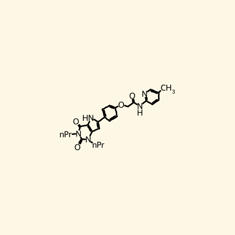 CCCn1c(=O)c2[nH]c(-c3ccc(OCC(=O)Nc4ccc(C)cn4)cc3)cc2n(CCC)c1=O